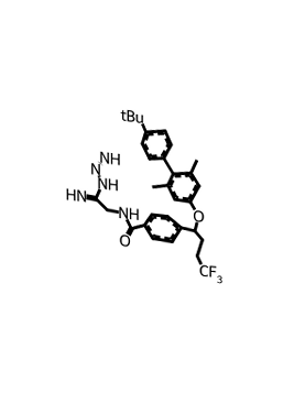 Cc1cc(OC(CCC(F)(F)F)c2ccc(C(=O)NCC(=N)NN=N)cc2)cc(C)c1-c1ccc(C(C)(C)C)cc1